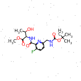 COC(=O)C(NC(=O)c1nc(CNC(=O)OC(C)(C)C)ccc1F)C(C)O